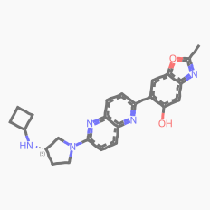 Cc1nc2cc(O)c(-c3ccc4nc(N5CC[C@H](NC6CCC6)C5)ccc4n3)cc2o1